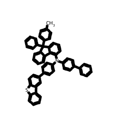 Cc1ccc(C2(c3ccccc3)c3ccccc3-c3c(N(c4ccc(-c5ccccc5)cc4)c4ccc(-c5ccc6sc7ccccc7c6c5)cc4)cccc32)cc1